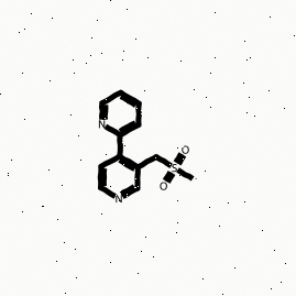 [CH2]S(=O)(=O)Cc1cnccc1-c1ccccn1